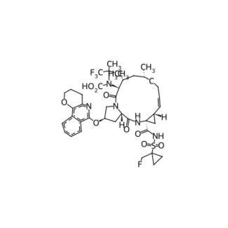 C[C@@H]1CCC=C[C@@H]2C[C@@]2(C(=O)NS(=O)(=O)C2(CF)CC2)NC(=O)[C@@H]2C[C@@H](Oc3nc4c(c5ccccc35)OCCC4)CN2C(=O)[C@@H](N(C(=O)O)C(C)(C)C(F)(F)F)[C@H](C)C1